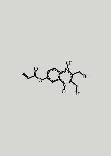 C=CC(=O)Oc1ccc2c(c1)[n+]([O-])c(CBr)c(CBr)[n+]2[O-]